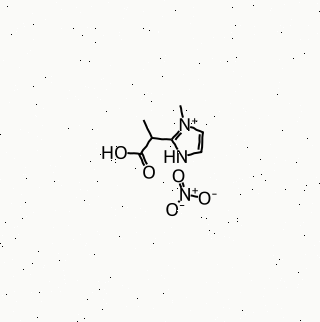 CC(C(=O)O)c1[nH]cc[n+]1C.O=[N+]([O-])[O-]